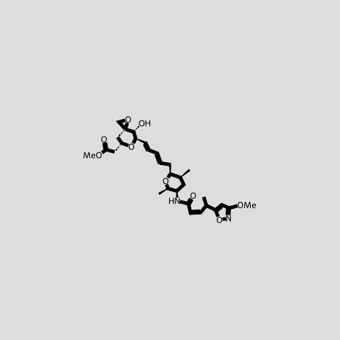 COC(=O)C[C@@H]1C[C@@]2(CO2)[C@H](O)[C@@H](/C=C/C=C/C[C@@H]2O[C@H](C)[C@H](NC(=O)/C=C\C(C)c3cc(OC)no3)C[C@@H]2C)O1